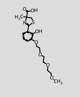 COCCOCCOCCOc1cccc(C2=NC(C)(C(=O)O)CS2)c1O